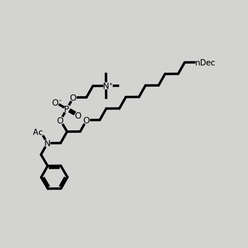 CCCCCCCCCCCCCCCCCCCCOCC(CN(Cc1ccccc1)C(C)=O)OP(=O)([O-])OCC[N+](C)(C)C